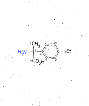 CCc1ccc(C(C)(N)C(=O)O)cc1